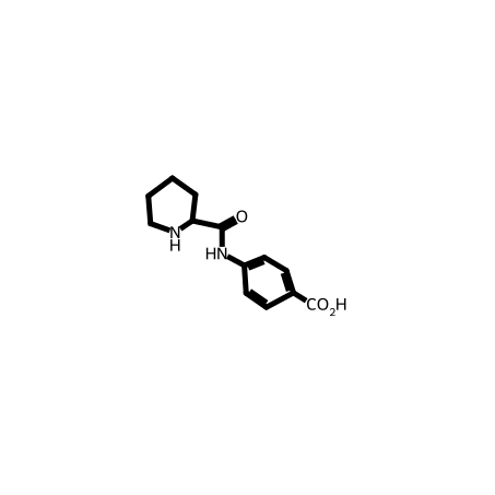 O=C(O)c1ccc(NC(=O)C2CCCCN2)cc1